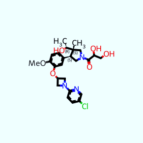 COc1ccc([C@@H]2CN(C(=O)C(O)CO)C[C@@]2(C)[C@@H](C)O)cc1OC1CN(c2ccc(Cl)cn2)C1